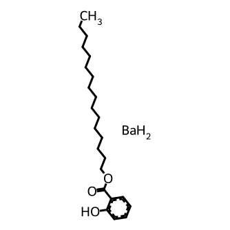 CCCCCCCCCCCCCCCCOC(=O)c1ccccc1O.[BaH2]